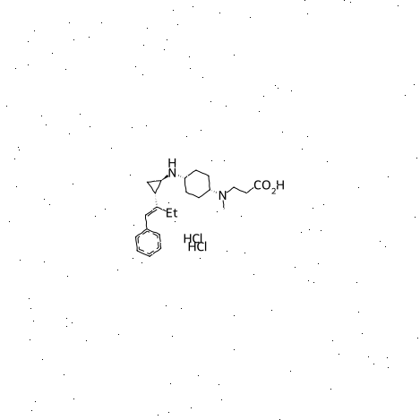 CC/C(=C\c1ccccc1)[C@@H]1C[C@H]1N[C@H]1CC[C@@H](N(C)CCC(=O)O)CC1.Cl.Cl